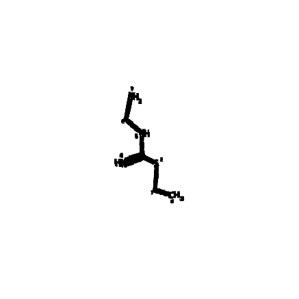 CCSC(=N)NCN